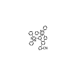 N#Cc1ccccc1-c1ccc(-c2cccc(-c3cc(-c4ccccc4)nc(-c4ccccc4)n3)c2)c(-c2cccc(-c3cc(-c4ccccc4)nc(-c4ccccc4)n3)c2)c1